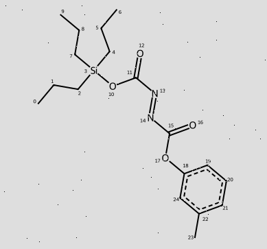 CCC[Si](CCC)(CCC)OC(=O)/N=N/C(=O)Oc1cccc(C)c1